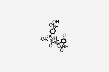 CN(C(=O)O)c1ccc(C(=O)N[C@@H](CCN2CCC2)C(=O)N2CC[C@@]3(C2)OC(=O)Nc2ccc(Cl)cc23)cc1